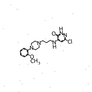 COc1ccccc1N1CCN(CCCNc2cc(Cl)n[nH]c2=O)CC1